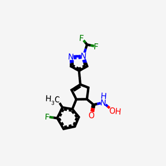 Cc1c(F)cccc1C1C=C(c2cnn(C(F)F)c2)CC1C(=O)NO